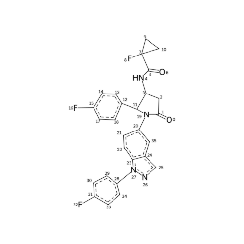 O=C1CC(NC(=O)C2(F)CC2)C(c2ccc(F)cc2)N1c1ccc2c(cnn2-c2ccc(F)cc2)c1